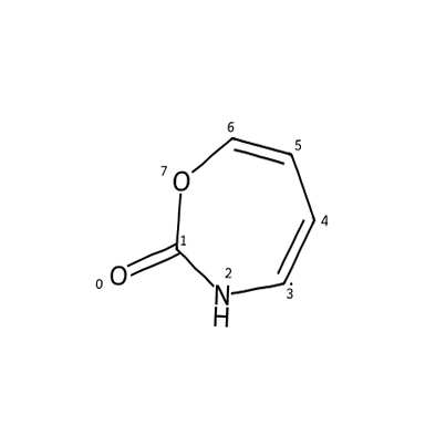 O=C1N[C]=CC=CO1